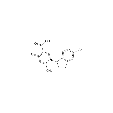 Cc1cc(=O)c(C(=O)O)cn1C1CCc2cc(Br)ccc21